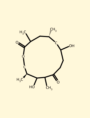 CC1C[C@H](C)CC(O)CCC(=O)C(C)C(O)[C@@H](C)COC1=O